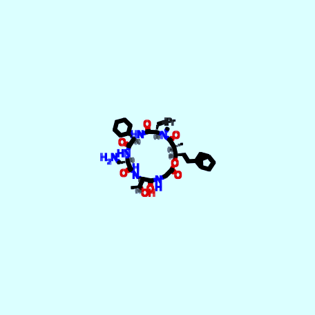 CC(C)C[C@H]1C(=O)N[C@@H](C2CCCCC2)C(=O)N[C@@H](CN)C(=O)N[C@@H]([C@H](C)O)C(=O)NCC(=O)O[C@H](CCC2CC3CCC2C3)[C@@H](C)C(=O)N1C